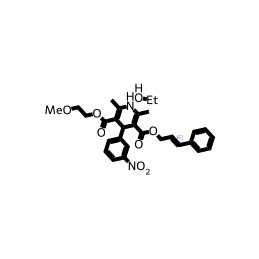 CCO.COCCOC(=O)C1=C(C)NC(C)=C(C(=O)OC/C=C/c2ccccc2)C1c1cccc([N+](=O)[O-])c1